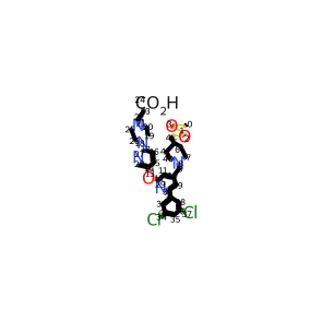 CS(=O)(=O)CC1CCN(Cc2cc(Oc3ccc(N4CCN(CCC(=O)O)CC4)nc3)nc(-c3cc(Cl)cc(Cl)c3)c2)CC1